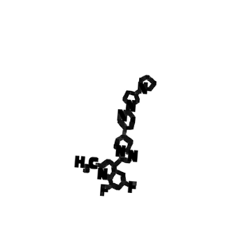 Cc1cc(-c2cnc3cc(-c4ccc(N5CCC(N6CCCC6)C5)nc4)ccn23)c2cc(F)cc(F)c2n1